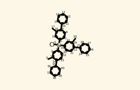 Cc1cc([Si](Cl)(c2ccc(-c3ccccc3)c(C)c2)c2ccc(-c3ccccc3)c(C)c2)ccc1-c1ccccc1